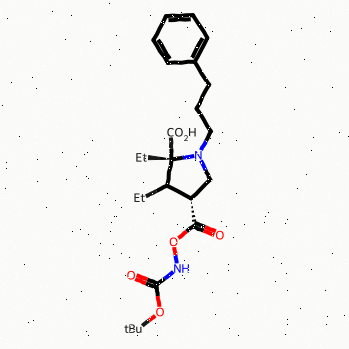 CCC1[C@@H](C(=O)ONC(=O)OC(C)(C)C)CN(CCCc2ccccc2)[C@@]1(CC)C(=O)O